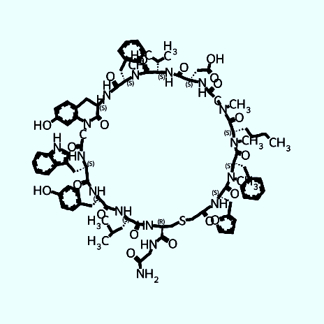 CCCC[C@H]1C(=O)N(C)CC(=O)N[C@@H](CC(=O)O)C(=O)N[C@@H](C(C)C)C(=O)N(C)[C@@H](Cc2ccccc2)C(=O)N[C@H]2Cc3ccc(O)cc3N(CC(=O)N[C@@H](Cc3c[nH]c4ccccc34)C(=O)N[C@@H](Cc3ccc(O)cc3)C(=O)N[C@@H](CC(C)C)C(=O)N[C@H](C(=O)NCC(N)=O)CSCC(=O)N[C@@H](Cc3ccco3)C(=O)N(C)[C@@H](Cc3ccccc3)C(=O)N1C)C2=O